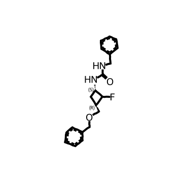 O=C(NCc1ccccc1)N[C@H]1C[C@H](COCc2ccccc2)C1F